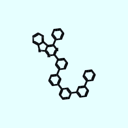 c1ccc(-c2cccc(-c3cccc(-c4cccc(-c5cccc(-c6nc(-c7ccccc7)c7c(n6)sc6ccccc67)c5)c4)c3)c2)cc1